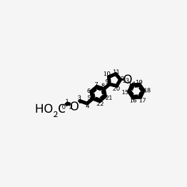 O=C(O)COCCc1ccc(C2CC[C@@H](Oc3ccccc3)C2)cc1